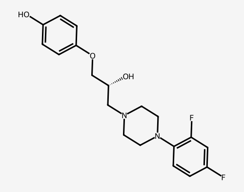 Oc1ccc(OC[C@H](O)CN2CCN(c3ccc(F)cc3F)CC2)cc1